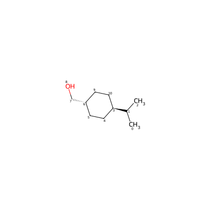 CC(C)[C@H]1CC[C@H](CO)CC1